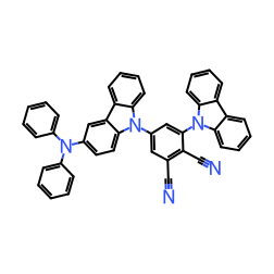 N#Cc1cc(-n2c3ccccc3c3cc(N(c4ccccc4)c4ccccc4)ccc32)cc(-n2c3ccccc3c3ccccc32)c1C#N